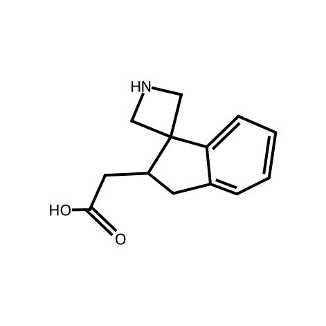 O=C(O)CC1Cc2ccccc2C12CNC2